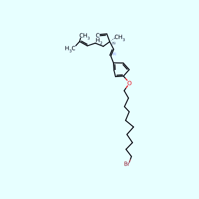 C=C[C@@](C)(/C=C/c1ccc(OCCCCCCCCCCBr)cc1)CCC=C(C)C